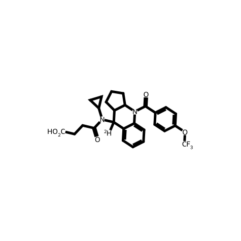 [2H]C1(N(C(=O)CCC(=O)O)C2CC2)c2ccccc2N(C(=O)c2ccc(OC(F)(F)F)cc2)C2CCCC21